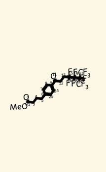 COC(=O)CCCc1ccc(C(=O)CCC(F)(F)C(F)(F)C(F)(C(F)(F)F)C(F)(F)F)cc1